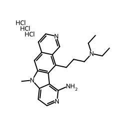 CCN(CC)CCCc1c2cnccc2cc2c1c1c(N)nccc1n2C.Cl.Cl.Cl